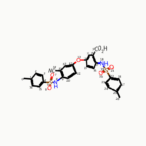 Cc1ccc(S(=O)(=O)Nc2ccc(Oc3ccc(NS(=O)(=O)c4ccc(C)cc4)c(C(=O)O)c3)cc2C#N)cc1